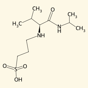 CC(C)NC(=O)[C@@H](NCCCS(=O)(=O)O)C(C)C